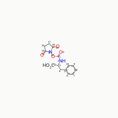 O=C(NC(Cc1ccccc1)C(=O)O)ON1C(=O)CCC1=O